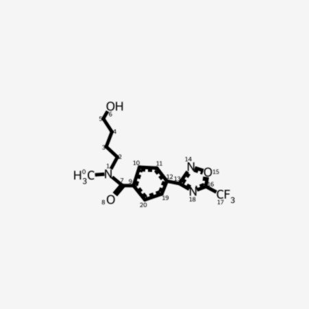 CN(CCCCO)C(=O)c1ccc(-c2noc(C(F)(F)F)n2)cc1